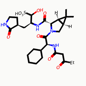 CCC(=O)CC(=O)N[C@H](C(=O)N1C[C@H]2[C@@H]([C@H]1C(=O)N[C@@H](C[C@@H]1CCNC1=O)C(O)S(=O)(=O)O)C2(C)C)C1CCCCC1